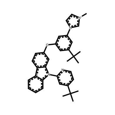 C[n+]1ccn(-c2cc(Oc3ccc4c5ccccc5n(-c5cc(C(C)(C)C)ccn5)c4c3)cc(C(C)(C)C)c2)c1